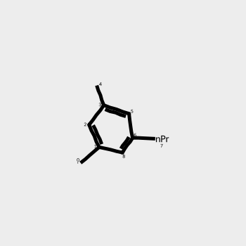 [CH2]c1cc(C)cc(CCC)c1